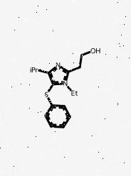 CCn1c(CCO)nc(C(C)C)c1Sc1ccccc1